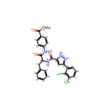 COC(=O)c1ccc(NC(=O)C(Cc2ccccc2)NC(=O)c2cc(-c3cccc(Cl)c3F)n[nH]2)cc1